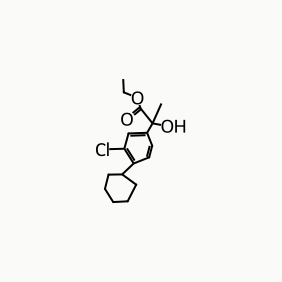 CCOC(=O)C(C)(O)c1ccc(C2CCCCC2)c(Cl)c1